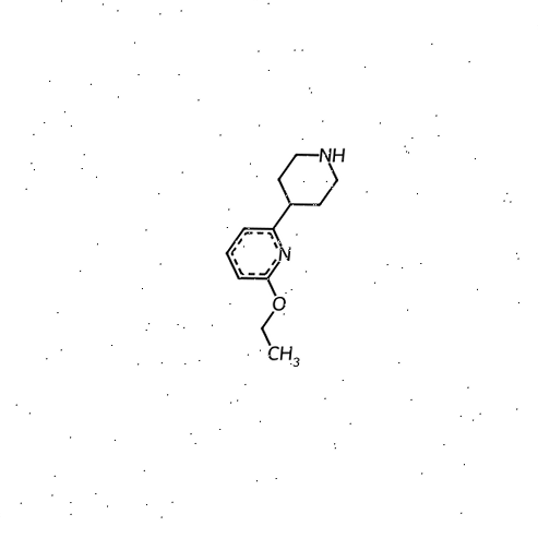 CCOc1cccc(C2CCNCC2)n1